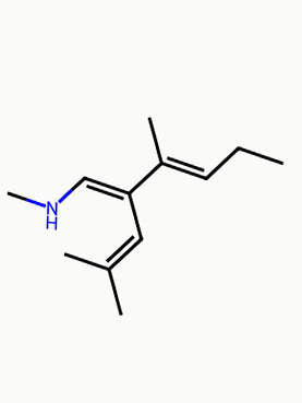 CC/C=C(C)/C(C=C(C)C)=C/NC